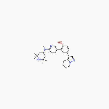 CN(c1ccc(-c2cc(-c3cnn4c3CCCC4)ccc2O)cn1)C1CC(C)(C)NC(C)(C)C1